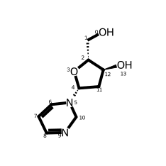 OC[C@H]1O[C@@H](N2C=CC=NC2)C[C@@H]1O